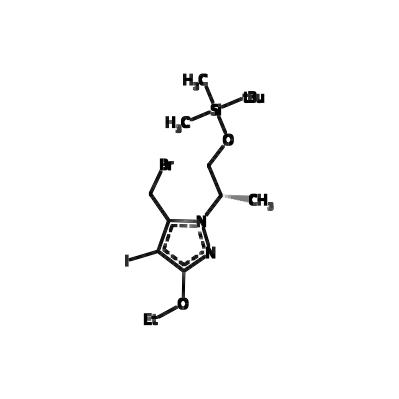 CCOc1nn([C@@H](C)CO[Si](C)(C)C(C)(C)C)c(CBr)c1I